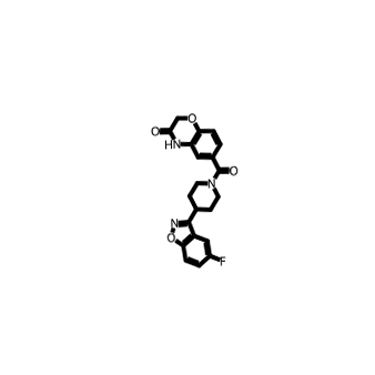 O=C1COc2ccc(C(=O)N3CCC(c4noc5ccc(F)cc45)CC3)cc2N1